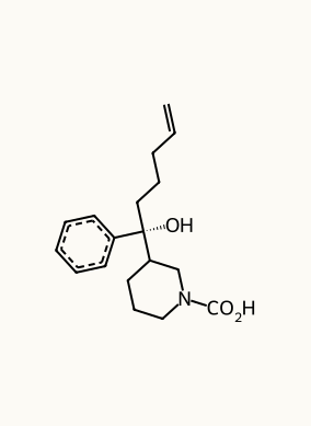 C=CCCC[C@](O)(c1ccccc1)C1CCCN(C(=O)O)C1